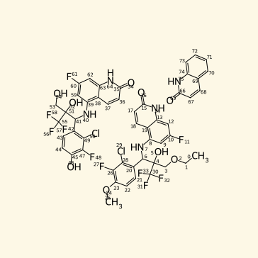 CCOCC(O)(C(Nc1cc(F)cc2[nH]c(=O)ccc12)c1ccc(OC)c(F)c1Cl)C(F)(F)F.O=c1ccc2c(NC(c3ccc(O)c(F)c3Cl)C(O)(CO)C(F)(F)F)cc(F)cc2[nH]1.O=c1ccc2ccccc2[nH]1